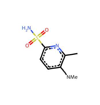 CNc1ccc(S(N)(=O)=O)nc1C